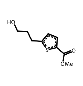 COC(=O)c1ccc(CCCO)s1